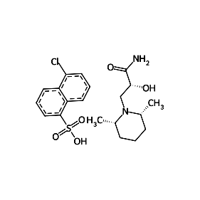 C[C@@H]1CCC[C@H](C)N1C[C@@H](O)C(N)=O.O=S(=O)(O)c1cccc2c(Cl)cccc12